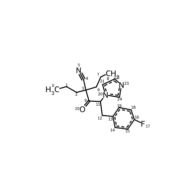 CCCC(C#N)(CCC)C(=O)C(Cc1ccc(F)cc1)n1ccnc1